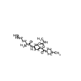 CNC(=O)OC(C(=O)N1CCN(C)CC1)c1ccc(NC(=O)[C@@H](N)CCCNO)cc1